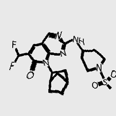 CS(=O)(=O)N1CCC(Nc2ncc3cc(C(F)F)c(=O)n(C4CC5CCC4C5)c3n2)CC1